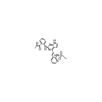 CCCS(=O)(=O)Nc1ncccc1/C=C/c1nc(Nc2ccccc2C(=O)NC)nc2[nH]ccc12